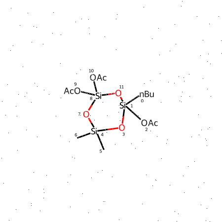 CCCC[Si]1(OC(C)=O)O[Si](C)(C)O[Si](OC(C)=O)(OC(C)=O)O1